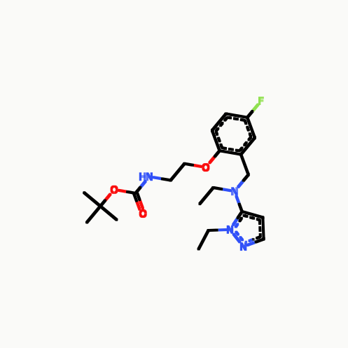 CCN(Cc1cc(F)ccc1OCCNC(=O)OC(C)(C)C)c1ccnn1CC